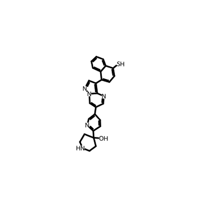 OC1(c2ccc(-c3cnc4c(-c5ccc(S)c6ccccc56)cnn4c3)cn2)CCNCC1